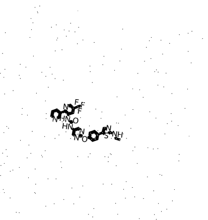 CCNc1ncc(-c2ccc(Oc3ncc(NC(=O)Nc4cc(C(F)(F)F)cnc4-c4cccnc4)cn3)cc2)s1